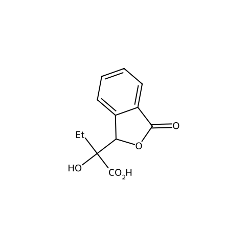 CCC(O)(C(=O)O)C1OC(=O)c2ccccc21